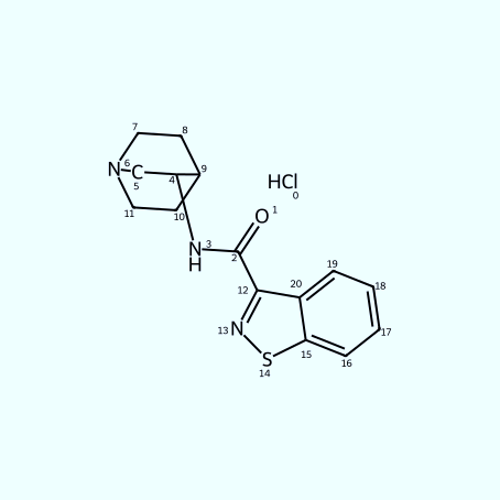 Cl.O=C(NC1CN2CCC1CC2)c1nsc2ccccc12